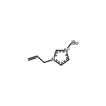 C=CCn1cc[n+](C(C)CC)c1